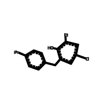 CCc1cc(Cl)cc(Cc2ccc(C(C)C)cc2)c1O